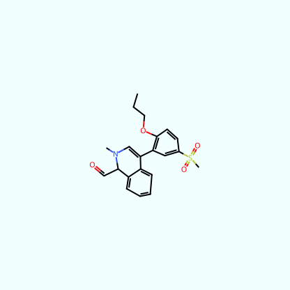 CCCOc1ccc(S(C)(=O)=O)cc1C1=CN(C)C(C=O)c2ccccc21